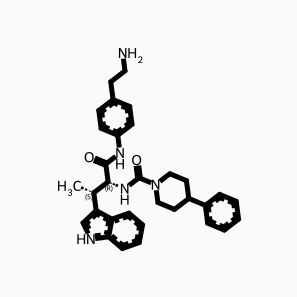 C[C@@H](c1c[nH]c2ccccc12)[C@@H](NC(=O)N1CCC(c2ccccc2)CC1)C(=O)Nc1ccc(CCN)cc1